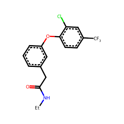 CCNC(=O)Cc1cccc(Oc2ccc(C(F)(F)F)cc2Cl)c1